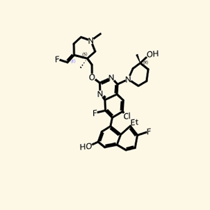 CCc1c(F)ccc2cc(O)cc(-c3c(Cl)cc4c(N5CCC[C@@](C)(O)C5)nc(OC[C@]5(C)CN(C)CC/C5=C\F)nc4c3F)c12